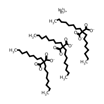 CCCCCCCCC(CCCCCCCC)(C(=O)[O-])C(=O)[O-].CCCCCCCCC(CCCCCCCC)(C(=O)[O-])C(=O)[O-].CCCCCCCCC(CCCCCCCC)(C(=O)[O-])C(=O)[O-].[In+3].[In+3]